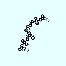 CC1(C)c2ccccc2-c2cc(-c3c4ccccc4c(-c4ccc5oc6c(ccc7c6ccc6c8cccc(-c9ccc%10c(c9)c9oc%11cc(-c%12c%13ccccc%13c(-c%13ccc%14c(c%13)C(C)(C)c%13ccccc%13-%14)c%13ccccc%12%13)ccc%11c9c9c%11ccccc%11oc%109)c8oc67)c5c4)c4ccccc34)ccc21